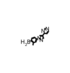 Bc1ccc(-n2cc(-c3ccncn3)cn2)cc1C